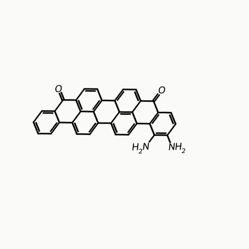 Nc1ccc2c(c1N)-c1ccc3c4ccc5c6c(ccc(c7ccc(c1c73)C2=O)c64)C(=O)c1ccccc1-5